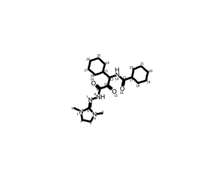 CN1CCN(C)C1=NNC(=O)C(=O)C(NC(=O)C1CCCCC1)C1CCCCC1